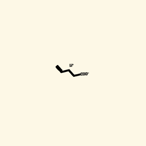 C=CCCC(=O)[O-].[Li+]